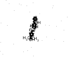 CC(C)(O)c1ccc(C(=O)CN2C[C@@H]3C[C@@](O)(Cc4ccccc4)C[C@@H]3C2)cc1